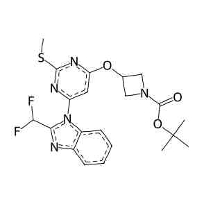 CSc1nc(OC2CN(C(=O)OC(C)(C)C)C2)cc(-n2c(C(F)F)nc3ccccc32)n1